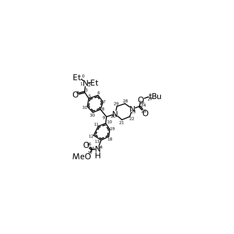 CCN(CC)C(=O)c1ccc(C(c2ccc(NC(=O)OC)cc2)N2CCN(C(=O)OC(C)(C)C)CC2)cc1